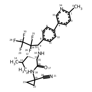 Cc1ccc(-c2ccc([C@H](N[C@@H](CC(C)C)C(=O)NC3(C#N)CC3)C(F)(F)C(F)(F)F)cc2)cn1